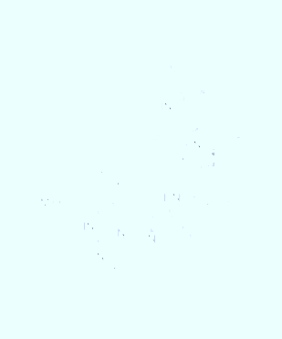 COc1ccccc1Nc1nccc(NCC(=O)Nc2cccc3c2CN(C2CCC(=O)NC2=O)C3=O)n1